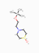 CC(C)(C)[Si](C)(C)OCCN1CC[S+]([O-])CC1